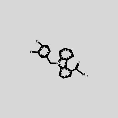 NC(=O)c1cccc2c1c1[c]cccc1n2Cc1ccc(F)c(F)c1